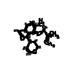 Cc1ncc2c(c1OC(=O)N(C)C)C(N1CCOCC1)OC2